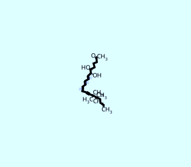 CCCCC(C)(C)C(C)(C)C#C\C=C/C=C/C=C/[C@@H](O)[C@@H](O)CCCC(C)=O